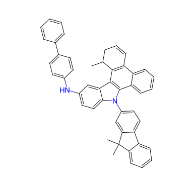 CC1CC=Cc2c1c1c3cc(Nc4ccc(-c5ccccc5)cc4)ccc3n(-c3ccc4c(c3)C(C)(C)c3ccccc3-4)c1c1ccccc21